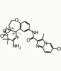 Cc1c(C(=O)Nc2ccc3c(c2)[C@@]2(C)N=C(N)C(C)(C)S(=O)(=O)[C@@H]2CCO3)nc2ccc(Cl)cn12